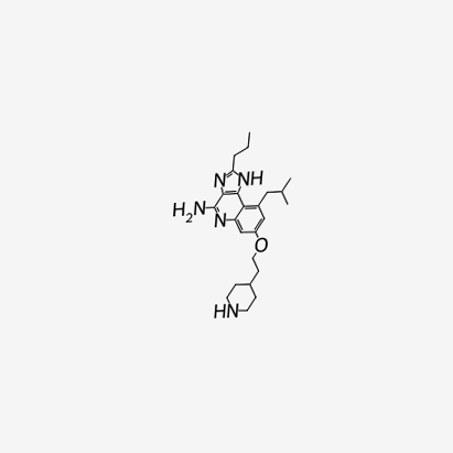 CCCc1nc2c(N)nc3cc(OCCC4CCNCC4)cc(CC(C)C)c3c2[nH]1